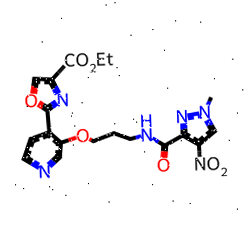 CCOC(=O)c1coc(-c2ccncc2OCCCNC(=O)c2nn(C)cc2[N+](=O)[O-])n1